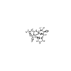 C=C(OCC)c1cc2c(cc1C(=O)OC)N(CC1CCCN1C)C(=O)C2(C)C